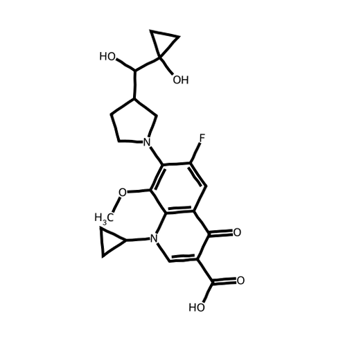 COc1c(N2CCC(C(O)C3(O)CC3)C2)c(F)cc2c(=O)c(C(=O)O)cn(C3CC3)c12